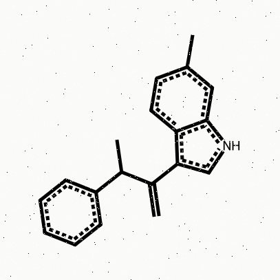 C=C(c1c[nH]c2cc(C)ccc12)C(C)c1ccccc1